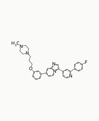 CN1CCN(CCCOc2cccc(-c3ccn4c(-c5ccnc(-c6ccc(F)cc6)c5)cnc4c3)c2)CC1